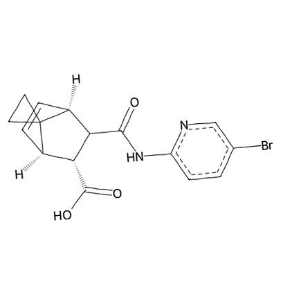 O=C(Nc1ccc(Br)cn1)C1[C@H](C(=O)O)[C@H]2C=C[C@@H]1C21CC1